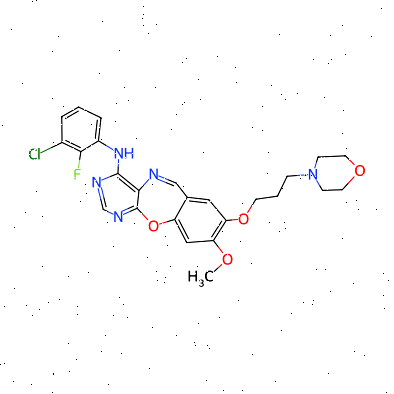 COc1cc2c(cc1OCCCN1CCOCC1)C=Nc1c(Nc3cccc(Cl)c3F)ncnc1O2